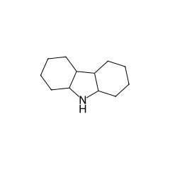 C1CCC2C(C1)NC1CCCCC12